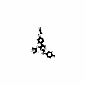 CC1CCC(Nc2ncc(-c3ccc(OCC#N)cc3)c(OC3CCOC3)n2)CC1